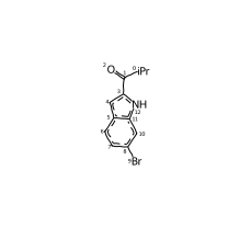 CC(C)C(=O)c1cc2ccc(Br)cc2[nH]1